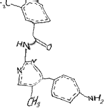 Cc1cnc(NC(=O)c2cccc(C(F)(F)F)c2)nc1-c1ccc(N)cc1